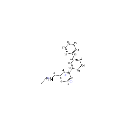 C/C=C\C(=C/CC/N=C/C)C1=CC(c2ccccc2)=CCC1